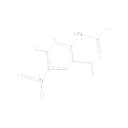 COc1cc([N+](=O)[O-])c(C)cc1NC(C)=O